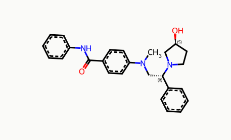 CN(C[C@@H](c1ccccc1)N1CC[C@H](O)C1)c1ccc(C(=O)Nc2ccccc2)cc1